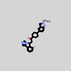 CCCCCn1cc2cc(C3CCC(C(=O)CC4c5c(F)cccc5-c5cncn54)CC3)ccc2n1